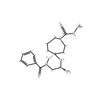 C[C@H]1CN(C(=O)c2ccccc2)C[C@@]2(CCCN(C(=O)OC(C)(C)C)CC2)O1